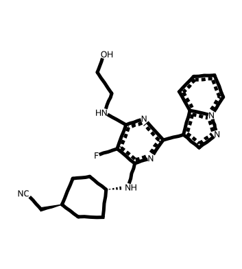 N#CC[C@H]1CC[C@H](Nc2nc(-c3cnn4ccccc34)nc(NCCO)c2F)CC1